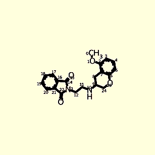 COc1cccc2c1CC(NCCN1C(=O)c3ccccc3C1=O)CO2